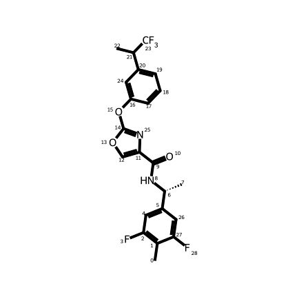 Cc1c(F)cc([C@@H](C)NC(=O)c2coc(Oc3cccc(C(C)C(F)(F)F)c3)n2)cc1F